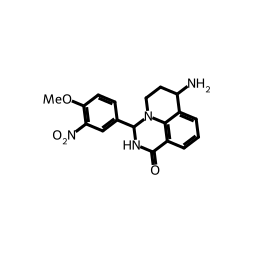 COc1ccc(C2NC(=O)c3cccc4c3N2CCC4N)cc1[N+](=O)[O-]